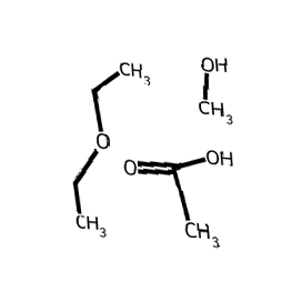 CC(=O)O.CCOCC.CO